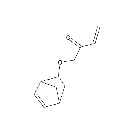 C=CC(=O)COC1CC2C=CC1C2